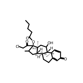 CCCCC(=O)O[C@]1(C(=O)CCl)C(C)C[C@H]2[C@@H]3CCC4=CC(=O)C=C[C@]4(C)[C@H]3C(O)C[C@@]21C